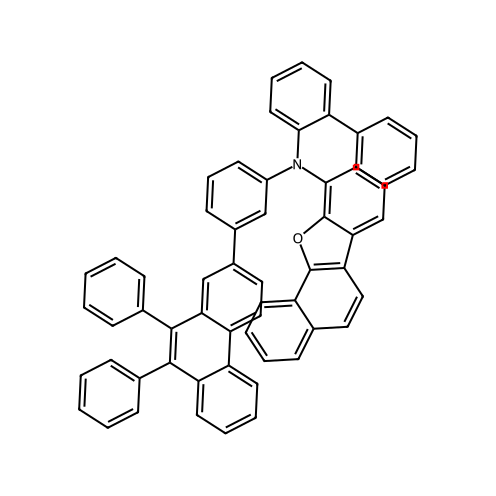 c1ccc(-c2ccccc2N(c2cccc(-c3ccc4c(c3)c(-c3ccccc3)c(-c3ccccc3)c3ccccc34)c2)c2cccc3c2oc2c4ccccc4ccc32)cc1